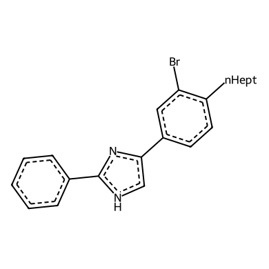 CCCCCCCc1ccc(-c2c[nH]c(-c3ccccc3)n2)cc1Br